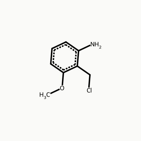 COc1cccc(N)c1CCl